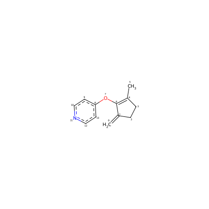 C=C1CCC(C)=C1Oc1ccncc1